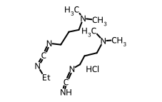 CCN=C=NCCCN(C)C.CN(C)CCCN=C=N.Cl